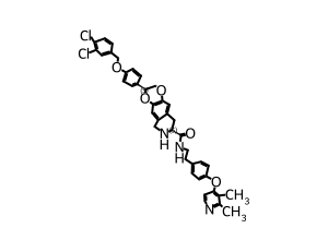 Cc1nccc(Oc2ccc(CCNC(=O)[C@@H]3Cc4cc5c(cc4CN3)O[C@@H](c3ccc(OCc4ccc(Cl)c(Cl)c4)cc3)CO5)cc2)c1C